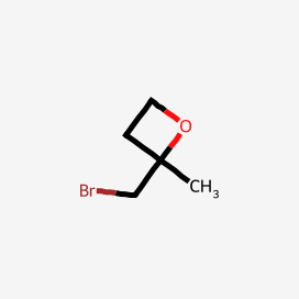 CC1(CBr)CCO1